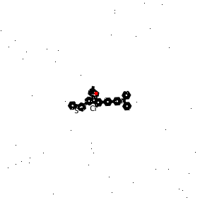 CC1C2CC3CC1CC(C2)C31c2ccc(-c3ccc4sc5ccccc5c4c3)cc2-c2c(Cl)cc(-c3ccc(-c4ccc(N(c5ccccc5)c5ccccc5)cc4)cc3)cc21